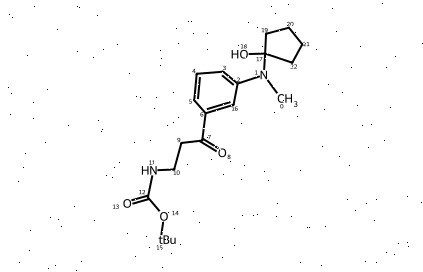 CN(c1cccc(C(=O)CCNC(=O)OC(C)(C)C)c1)C1(O)CCCC1